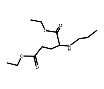 CCCNC(CCC(=O)OCC)C(=O)OCC